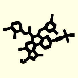 Cn1nc(N)c2c(Cl)ccc(-c3ccc(C#CC(C)(C)O)nc3C(Cc3cc(F)cc(F)c3)NC(=O)Cc3cccc(Cl)c3Cl)c21